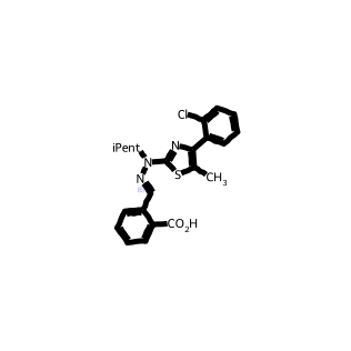 CCCC(C)N(/N=C/c1ccccc1C(=O)O)c1nc(-c2ccccc2Cl)c(C)s1